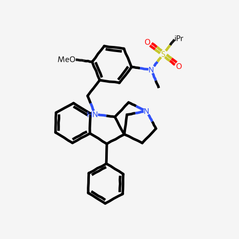 COc1ccc(N(C)S(=O)(=O)C(C)C)cc1CNC1CN2CCC1(C(c1ccccc1)c1ccccc1)C2